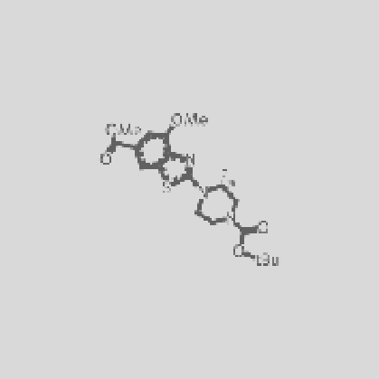 COC(=O)c1cc(OC)c2nc(N3CCN(C(=O)OC(C)(C)C)C[C@H]3C)sc2c1